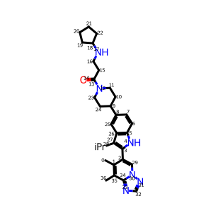 Cc1c(-c2[nH]c3ccc(C4CCN(C(=O)CCNC5CCCC5)CC4)cc3c2C(C)C)cn2ncnc2c1C